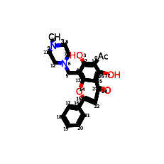 CC(=O)c1c(O)c(CN2CCN(C)CC2)c2oc(-c3ccccc3)cc(=O)c2c1O